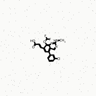 CNc1ncc2c(-c3cccc(Cl)c3)cc(/C=C/C(=O)O)c(OC(F)F)c2n1